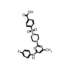 Cc1cc(Nc2ccc(F)cc2)nc(N2CCN(S(=O)(=O)c3ccc(C(=O)O)cc3)CC2)n1